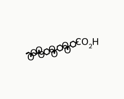 C=CC(=O)OCC(=O)OC1CCC(OC(=O)C2CCC(OC(=O)C3CCC(C(=O)O)CC3)CC2)CC1